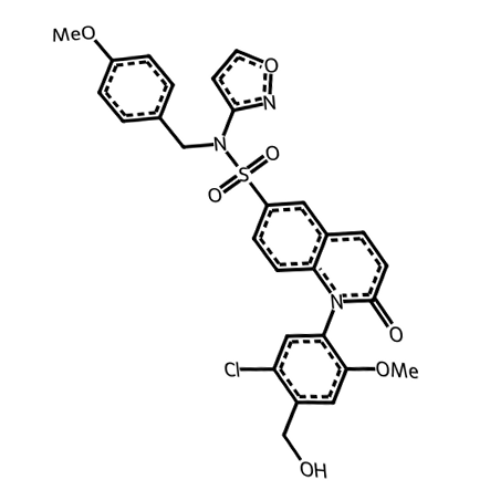 COc1ccc(CN(c2ccon2)S(=O)(=O)c2ccc3c(ccc(=O)n3-c3cc(Cl)c(CO)cc3OC)c2)cc1